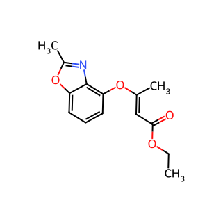 CCOC(=O)C=C(C)Oc1cccc2oc(C)nc12